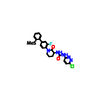 CSc1ccccc1-c1ccc(N2CCCC(NC(=O)Nc3ccc(Cl)nn3)C2=O)c(F)c1